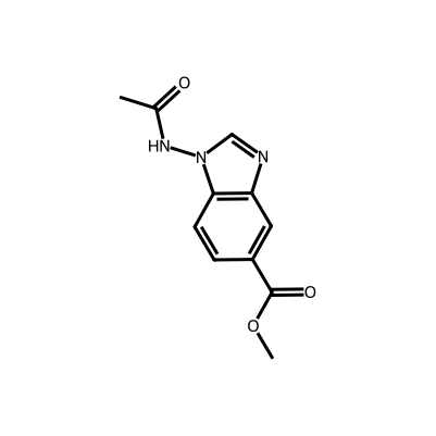 COC(=O)c1ccc2c(c1)ncn2NC(C)=O